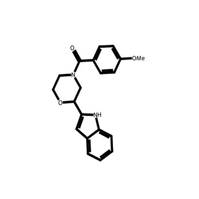 COc1ccc(C(=O)N2CCOC(c3cc4ccccc4[nH]3)C2)cc1